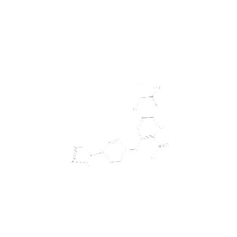 CC[C@@H](Nc1cnc(C(N)=O)c(Nc2ccc(-c3ncco3)cc2)n1)C(N)=O